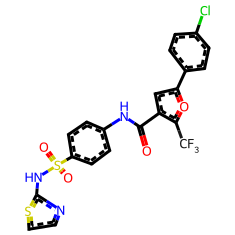 O=C(Nc1ccc(S(=O)(=O)Nc2nccs2)cc1)c1cc(-c2ccc(Cl)cc2)oc1C(F)(F)F